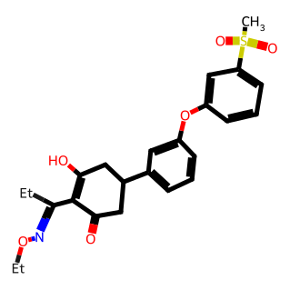 CCON=C(CC)C1=C(O)CC(c2cccc(Oc3cccc(S(C)(=O)=O)c3)c2)CC1=O